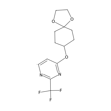 FC(F)(F)c1n[c]cc(OC2CCC3(CC2)OCCO3)n1